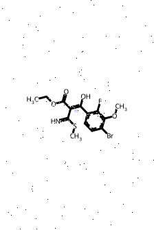 CCOC(=O)/C(C(=N)SC)=C(\O)c1ccc(Br)c(OC)c1F